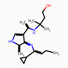 C=C(NC(C)(C)CCO)C1=CNC(=C)/C1=N\C(=C/CC)C1CC1